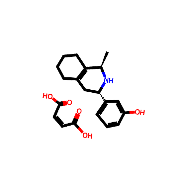 C[C@H]1N[C@H](c2cccc(O)c2)CC2=C1CCCC2.O=C(O)/C=C\C(=O)O